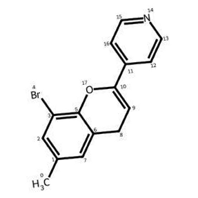 Cc1cc(Br)c2c(c1)CC=C(c1ccncc1)O2